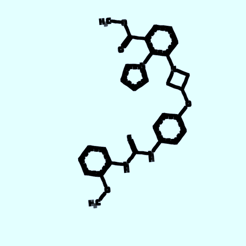 COC(=O)c1cccc(N2CC(Oc3ccc(NC(=S)Nc4ccccc4OC)cc3)C2)c1-n1cccc1